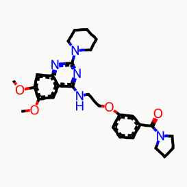 COc1cc2nc(N3CCCCC3)nc(NCCOc3cccc(C(=O)N4CCCC4)c3)c2cc1OC